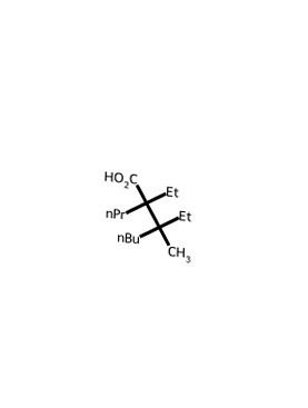 CCCCC(C)(CC)C(CC)(CCC)C(=O)O